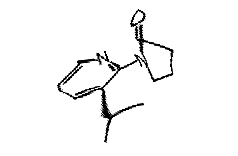 CC(C)c1cccnc1N1CCCC1=O